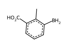 Bc1cccc(C(=O)O)c1C